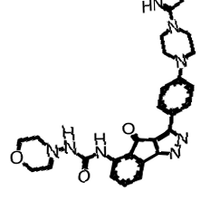 CC(=N)N1CCN(c2ccc(C3=C4C(=O)c5c(NC(=O)NN6CCOCC6)cccc5C4N=N3)cc2)CC1